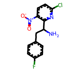 NC(Cc1ccc(F)cc1)c1nc(Cl)ccc1[N+](=O)[O-]